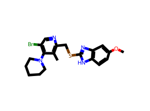 COc1ccc2[nH]c(SCc3ncc(Br)c(N4CCCCC4)c3C)nc2c1